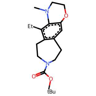 CCc1c2c(cc3c1N(C)CCO3)CCN(C(=O)OC(C)(C)C)CC2